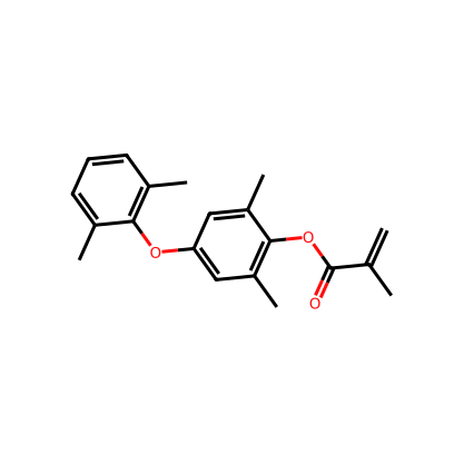 C=C(C)C(=O)Oc1c(C)cc(Oc2c(C)cccc2C)cc1C